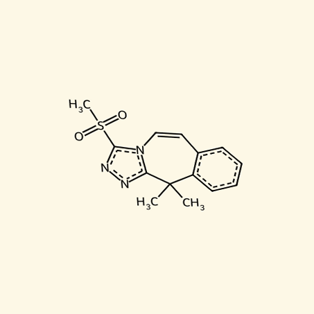 CC1(C)c2ccccc2C=Cn2c1nnc2S(C)(=O)=O